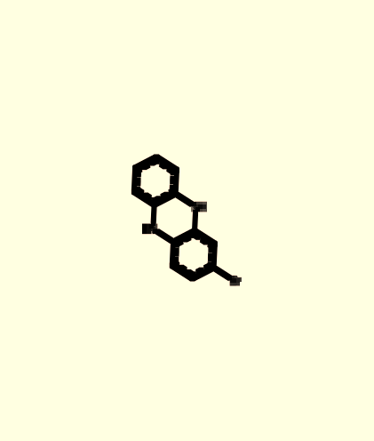 Brc1ccc2c(c1)Nc1ccccc1N2